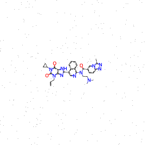 C=CCn1c(=O)n(C2CC2)c(=O)c2[nH]c(-c3cnc(N(CCN(C)C)C(=O)c4ccc5nnc(C)n5c4)c4ccccc34)nc21